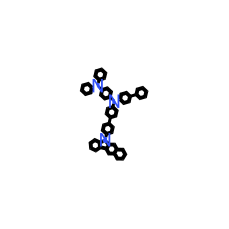 c1ccc(-c2ccc(N(c3ccc(-c4ccc(-n5c6ccccc6c6cc7ccccc7cc65)cc4)cc3)c3ccc(N(c4ccccc4)c4ccccc4)cc3)cc2)cc1